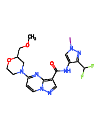 COCC1CN(c2ccn3ncc(C(=O)Nc4cn(I)nc4C(F)F)c3n2)CCO1